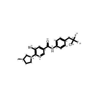 C[C@@H]1CCN(c2ncc(C(=O)Nc3ccc(CC(F)(F)Cl)cc3)cc2Br)C1